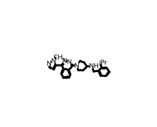 CC(C)c1ccccc1CNC1CCN(c2nnc(-c3ccnn3C)c3ccccc23)CC1